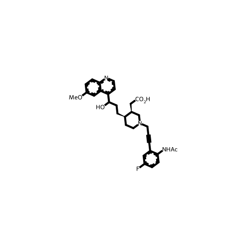 COc1ccc2nccc(C(O)CC[C@@H]3CCN(CC#Cc4cc(F)ccc4NC(C)=O)C[C@@H]3CC(=O)O)c2c1